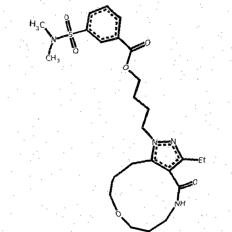 CCc1nn(CCCCOC(=O)c2cccc(S(=O)(=O)N(C)C)c2)c2c1C(=O)NCCCOCCC2